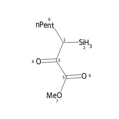 CCCCCC([SiH3])C(=O)C(=O)OC